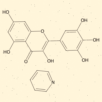 O=c1c(O)c(-c2cc(O)c(O)c(O)c2)oc2cc(O)cc(O)c12.c1ccncc1